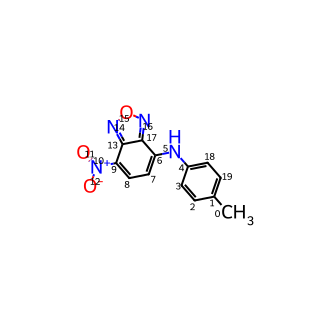 Cc1ccc(Nc2ccc([N+](=O)[O-])c3nonc23)cc1